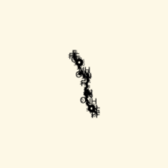 O=C(NCc1ccc(C(F)(F)F)nc1)c1cn(CCC(F)Cn2cc(C(=O)NCc3cccc(OC(F)(F)F)c3)nn2)nn1